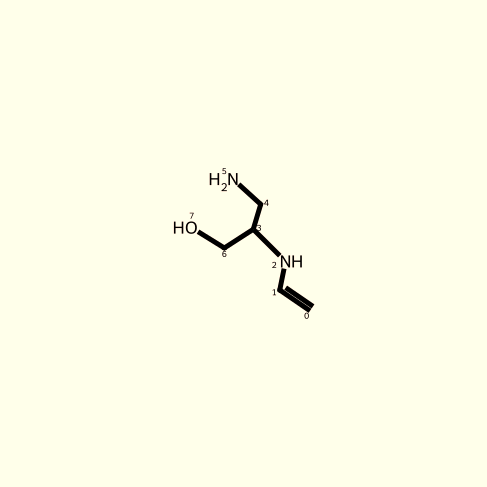 C=CNC(CN)CO